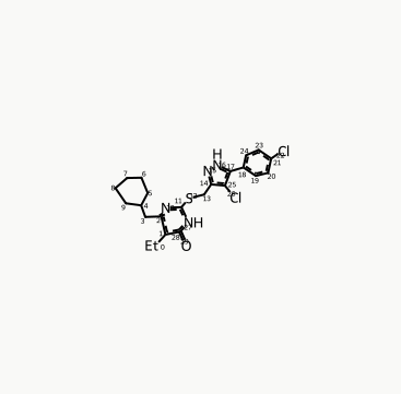 CCc1c(CC2CCCCC2)nc(SCc2n[nH]c(-c3ccc(Cl)cc3)c2Cl)[nH]c1=O